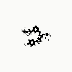 CC(CN)(CCc1cccc(-c2noc(C(F)(F)F)n2)c1)c1coc(-c2ccc(Cl)cc2)n1